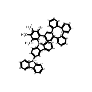 Cc1c(C)c(Br)c(-c2ccc3c(c2)-c2ccccc2-c2ccccc2-c2ccccc2-3)c(-n2c3ccccc3c3cc(-n4c5ccccc5c5ccccc54)ccc32)c1C